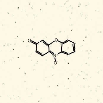 O=c1ccc2[n+]([O-])c3ccccc3oc-2c1